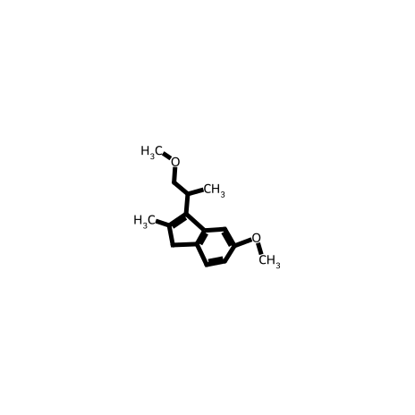 COCC(C)C1=C(C)Cc2ccc(OC)cc21